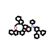 c1ccc(-c2ccc(N(c3ccccc3)c3ccc(-c4cccc5c4-c4ccccc4-c4ccc6ccccc6c4CCOc4c-5ccc5ccccc45)cc3)cc2-c2ccccc2)cc1